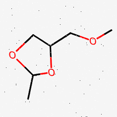 COCC1CO[C](C)O1